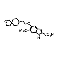 COc1cc2[nH]c(C(=O)O)cc2cc1OCCN1CCC2(CCOC2)CC1